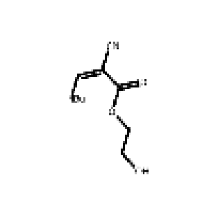 CCCCC=C(C#N)C(=O)OCCO